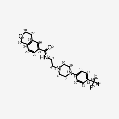 O=C(NCCN1CCN(c2ccc(C(F)(F)F)cc2)CC1)c1ccc2c(c1)CCOC2